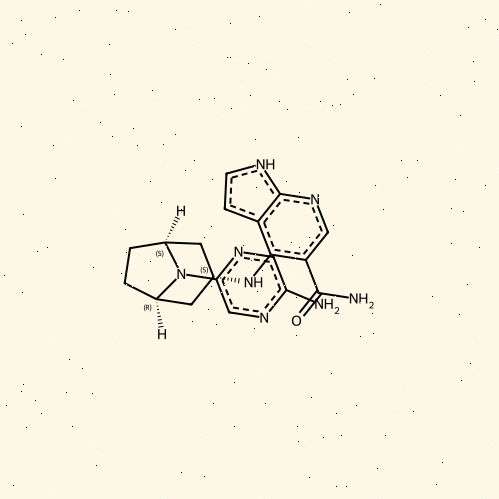 NC(=O)c1cnc2[nH]ccc2c1N[C@@H]1C[C@H]2CC[C@@H](C1)N2c1cnc(N)cn1